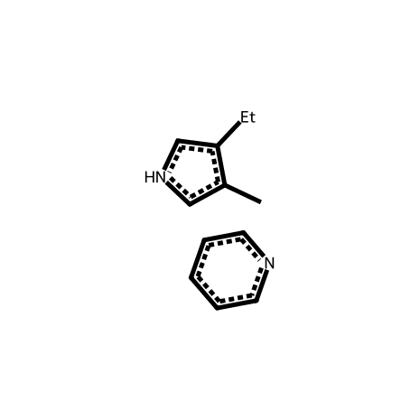 CCc1c[nH]cc1C.c1ccncc1